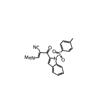 CNC=C(C#N)C(=O)c1cc2ccccc2n1S(=O)(=O)c1ccc(C)cc1